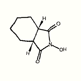 O=C1[C@H]2CCCC[C@H]2C(=O)N1O